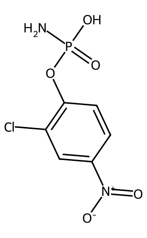 NP(=O)(O)Oc1ccc([N+](=O)[O-])cc1Cl